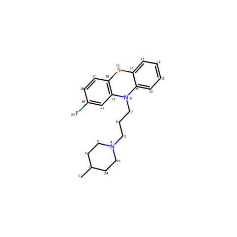 CC1CCN(CCCN2c3ccccc3Sc3ccc(F)cc32)CC1